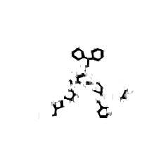 CCc1cc([C@H]2O[C@@H](n3cnc4c(NCC(c5ccccc5)c5ccccc5)nc(N5CC[C@@H](NC(=O)c6cccnc6)C5)nc43)[C@H](O)[C@@H]2O)on1.O=C(O)C(F)(F)F